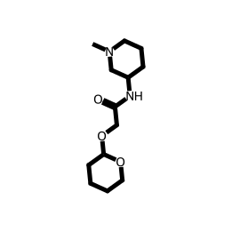 CN1CCCC(NC(=O)COC2CCCCO2)C1